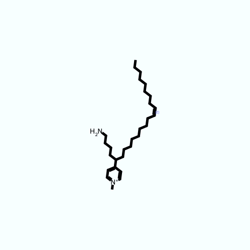 CCCCCCCC/C=C\CCCCCCCCC(CCCCN)c1cc[n+](C)cc1